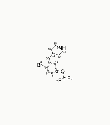 FC(F)Oc1ccc(Br)c(CC2CCNCC2)c1